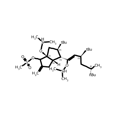 C=C1C[C@H]2[C@@H](C(=C[C@H](C[C@H](C)CCCC)C(C)(C)C)O[SiH](C)C)[C@H](C(C)(C)C)C[C@@]2(O[SiH](C)C)C1OS(C)(=O)=O